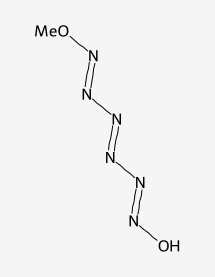 CON=NN=NN=NO